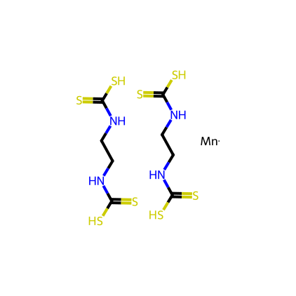 S=C(S)NCCNC(=S)S.S=C(S)NCCNC(=S)S.[Mn]